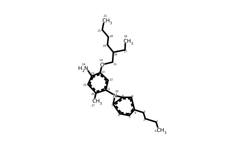 CCCCc1ccc2c(c1)N2c1cc(OCC(CC)CCCC)c(N)cc1C